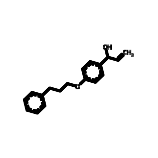 C=CC(O)c1ccc(OCCCc2ccccc2)cc1